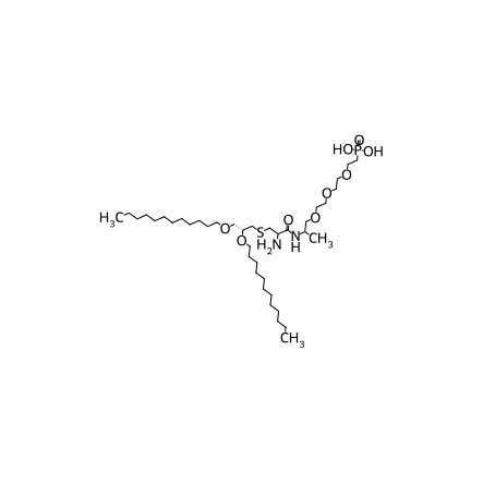 CCCCCCCCCCCCOC[C@H](CSCC(N)C(=O)NC(C)COCCOCCOCCP(=O)(O)O)OCCCCCCCCCCCC